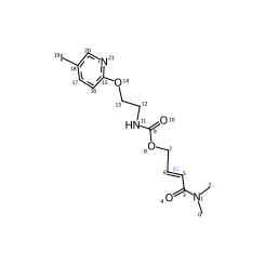 CN(C)C(=O)/C=C/COC(=O)NCCOc1ccc(I)cn1